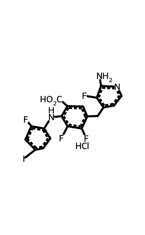 Cl.Nc1nccc(Cc2cc(C(=O)O)c(Nc3ccc(I)cc3F)c(F)c2F)c1F